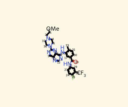 COCCN1CCN(c2ncc3ncnc(Nc4cc(C(=O)Nc5ccc(F)c(C(F)(F)F)c5)ccc4C)c3n2)CC1